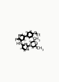 CCOc1ccc(-c2cnc(F)c(Nc3ccnc(N4C[C@@H](C)O[C@@H](C)C4)n3)c2)cc1